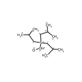 CC(C)CS(CC(C)C)(CC(C)C)[OH+][O-]